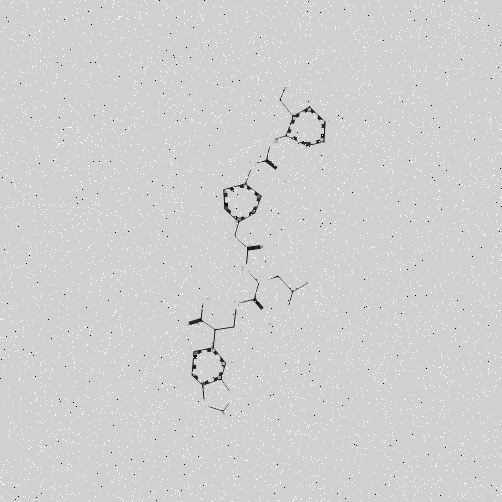 CCc1ccccc1NC(=O)Nc1ccc(CC(=O)N[C@@H](CC(C)C)C(=O)NCC(C(=O)O)c2ccc3c(c2)OCO3)cc1